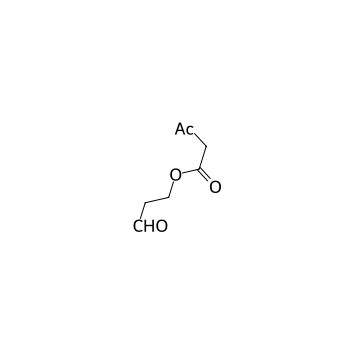 CC(=O)CC(=O)OCCC=O